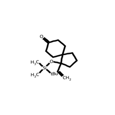 C=CC1(O[Si](C)(C)C(C)(C)C)CCCC12CCC(=O)CC2